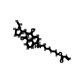 C=CC(=O)OCCCCCCNc1ccc2c3c(cccc13)C(=O)N(CC1CCCN1CC)C2=O